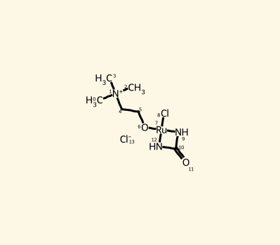 C[N+](C)(C)CC[O][Ru]1([Cl])[NH]C(=O)[NH]1.[Cl-]